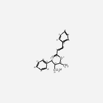 CC(OC(=O)C=Cc1ccccc1)C(Cc1ccccc1)C(=O)O